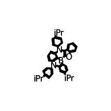 CC(C)C1=CCC(N2c3cccc4c3B(c3ccc(C(C)C)cc3N4c3ccc(C(C)C)cc3)c3oc4ccccc4c32)C=C1